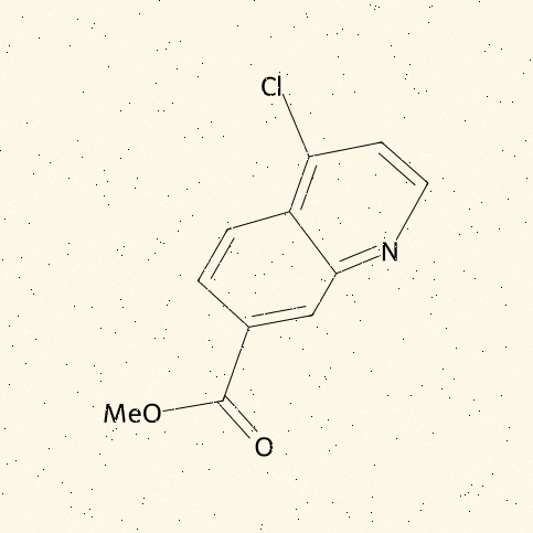 COC(=O)c1ccc2c(Cl)ccnc2c1